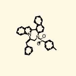 Cc1ccc(S(=O)(=O)N2CC(=Cc3ccccc3)n3c(cc4ccccc43)-c3c2ccc2ccccc32)cc1